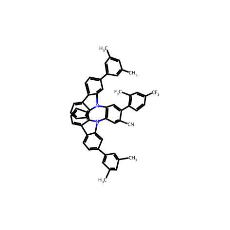 Cc1cc(C)cc(-c2ccc3c4ccccc4n(-c4cc(C#N)c(-c5ccc(C(F)(F)F)cc5C(F)(F)F)cc4-n4c5ccccc5c5ccc(-c6cc(C)cc(C)c6)cc54)c3c2)c1